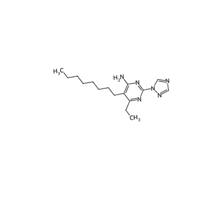 CCCCCCCCc1c(N)nc(-n2cncn2)nc1CC